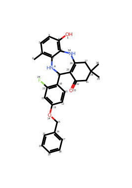 Cc1ccc(O)c2c1NC(c1ccc(OCc3ccccc3)cc1F)C1=C(CC(C)(C)CC1=O)N2